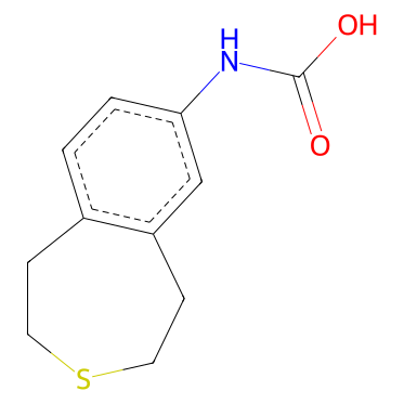 O=C(O)Nc1ccc2c(c1)CCSCC2